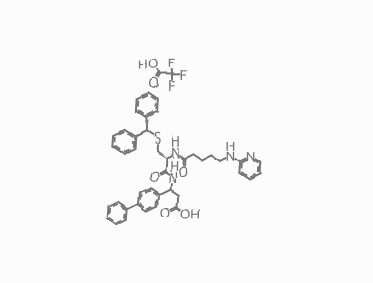 O=C(O)C(F)(F)F.O=C(O)CC(NC(=O)[C@@H](CSC(c1ccccc1)c1ccccc1)NC(=O)CCCCNc1ccccn1)c1ccc(-c2ccccc2)cc1